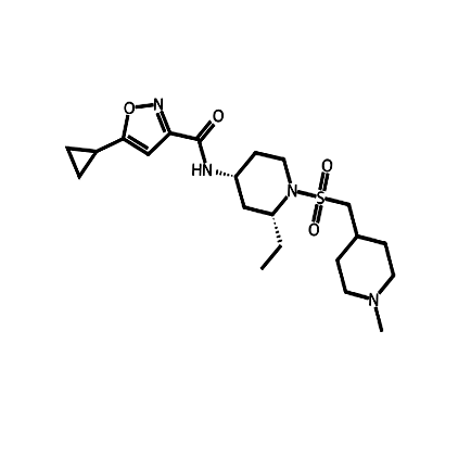 CC[C@@H]1C[C@H](NC(=O)c2cc(C3CC3)on2)CCN1S(=O)(=O)CC1CCN(C)CC1